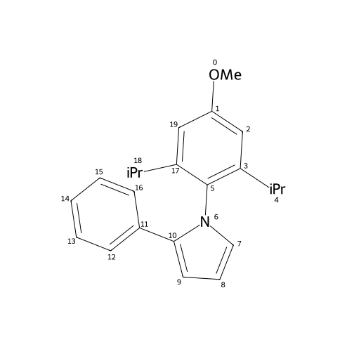 COc1cc(C(C)C)c(-n2cccc2-c2ccccc2)c(C(C)C)c1